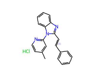 Cc1ccnc(-n2c(/C=C/c3ccccc3)nc3ccccc32)c1.Cl